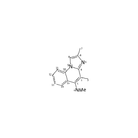 CNc1c(C)c2nc(C)cn2c2ccccc12